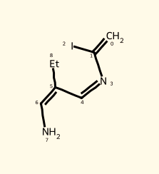 C=C(I)/N=C\C(=C/N)CC